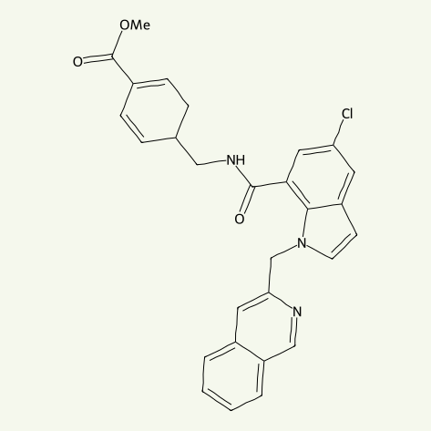 COC(=O)C1=CCC(CNC(=O)c2cc(Cl)cc3ccn(Cc4cc5ccccc5cn4)c23)C=C1